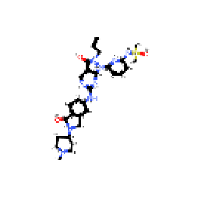 C=CCn1c(=O)c2cnc(Nc3ccc4c(c3)CN(C3CCN(C)CC3)C4=O)nc2n1-c1cccc(N=S(C)(C)=O)n1